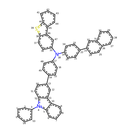 c1ccc(-n2c3ccccc3c3cc(-c4ccc(N(c5ccc(-c6ccc7ccccc7c6)cc5)c5ccc6sc7ccccc7c6c5)cc4)ccc32)cc1